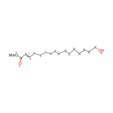 COC(=O)/C=C/CCCCCCCCCCCCCO